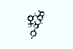 Cc1nn(C2CCN(C)CC2)cc1Nc1nc(Nc2cccc(C(C)(C)O)c2)c2c(C)csc2n1